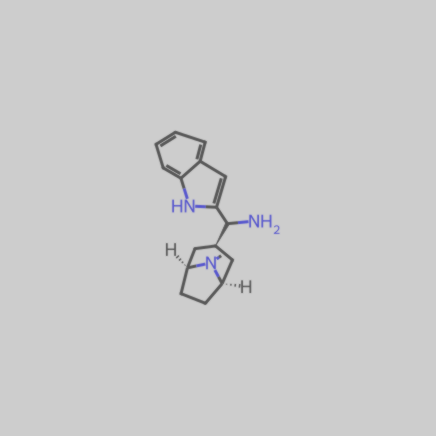 CN1[C@@H]2CC[C@H]1C[C@@H](C(N)c1cc3ccccc3[nH]1)C2